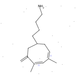 C=C1CC(CCCCN)C/C=C(C)\C=C/1C